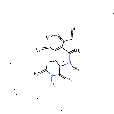 C=C/C=C(C(=C)N(C)C1CCC(=C)N(C)C1=C)\C(C=C)=C/C